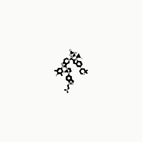 CC1=CC(n2nc3c(c2-n2ccn(-c4ccc5c(cnn5CCN(C)C)c4)c2=O)CN(C(=O)C2=CC4C=C([C@H]5CCOC(C)(C)C5)C=CC4N2[C@@]2(c4noc(=O)[nH]4)C[C@@H]2C)CC3)CC(C)=C1F